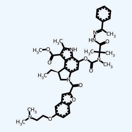 CC[C@@H]1CN(C(=O)c2cc3cc(OCCN(C)C)ccc3o2)c2cc(OC(=O)N(C)C(C)(C)C(=O)N/N=C(\C)c3ccccc3)c3[nH]c(C)c(C(=O)OC)c3c21